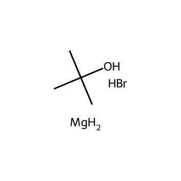 Br.CC(C)(C)O.[MgH2]